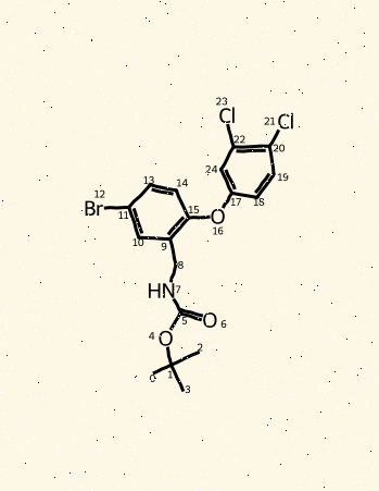 CC(C)(C)OC(=O)NCc1cc(Br)ccc1Oc1ccc(Cl)c(Cl)c1